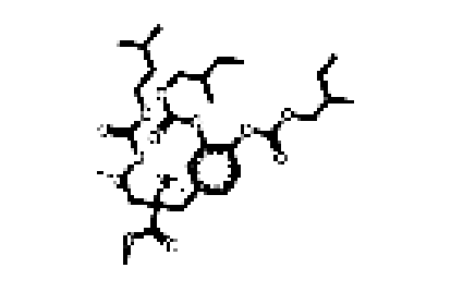 CCC(C)COC(=O)Oc1ccc(CC(N)(C[C@H](C)OC(=O)OCCC(C)C)C(=O)OC)cc1OC(=O)OCC(C)CC